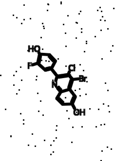 Oc1ccc2nc(-c3ccc(O)c(F)c3)c(Cl)c(Br)c2c1